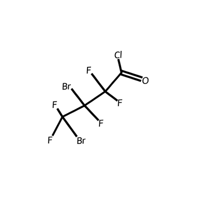 O=C(Cl)C(F)(F)C(F)(Br)C(F)(F)Br